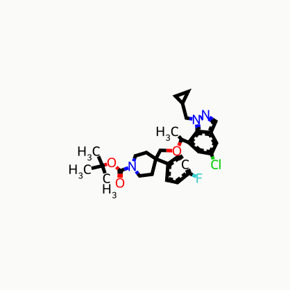 CC(OCC1(c2ccc(F)cc2)CCN(C(=O)OC(C)(C)C)CC1)c1cc(Cl)cc2cnn(CC3CC3)c12